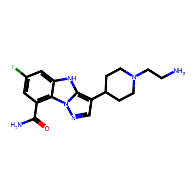 NCCN1CCC(c2cnn3c2[nH]c2cc(F)cc(C(N)=O)c23)CC1